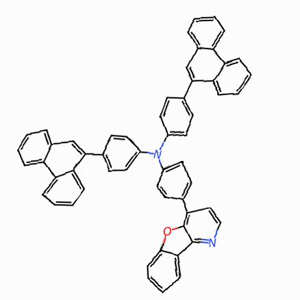 c1ccc2c(c1)cc(-c1ccc(N(c3ccc(-c4cc5ccccc5c5ccccc45)cc3)c3ccc(-c4ccnc5c4oc4ccccc45)cc3)cc1)c1ccccc12